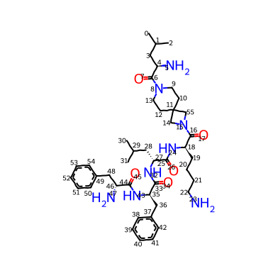 CC(C)C[C@@H](N)C(=O)N1CCC2(CC1)CN(C(=O)[C@@H](CCCCN)NC(=O)[C@@H](CC(C)C)NC(=O)[C@@H](Cc1ccccc1)NC(=O)[C@H](N)Cc1ccccc1)C2